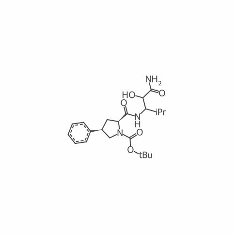 CC(C)C(NC(=O)[C@@H]1C[C@H](c2ccccc2)CN1C(=O)OC(C)(C)C)C(O)C(N)=O